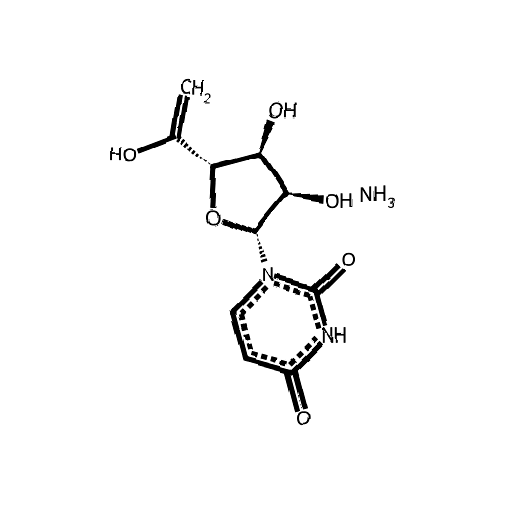 C=C(O)[C@H]1O[C@@H](n2ccc(=O)[nH]c2=O)[C@H](O)[C@@H]1O.N